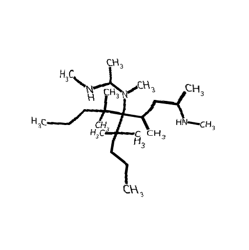 CCCC(C)(C)C(C(C)CC(C)NC)(N(C)C(C)NC)C(C)(C)CCC